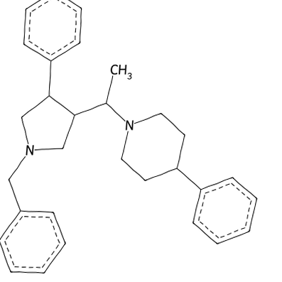 CC(C1CN(Cc2ccccc2)CC1c1ccccc1)N1CCC(c2ccccc2)CC1